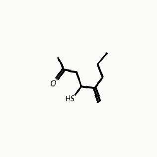 C=C(CCC)C(S)CC(C)=O